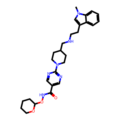 Cn1cc(CCNCC2CCN(c3ncc(C(=O)NOC4CCCCO4)cn3)CC2)c2ccccc21